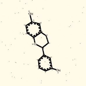 Oc1cccc(C2CCc3cc(O)ccc3O2)c1